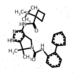 CC1(C)c2[nH]nc(NC(=O)C3([Si](C)(C)C)CCC3)c2CN1C(=O)Nc1ccccc1-c1ccccc1